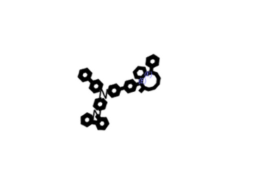 C=C1CCCCC/C(c2ccccc2)=C2/CCCC/C2=C/1c1ccc(-c2ccc(N(c3ccc(-c4ccccc4)cc3)c3ccc(-n4c5ccccc5c5ccccc54)cc3)cc2)cc1